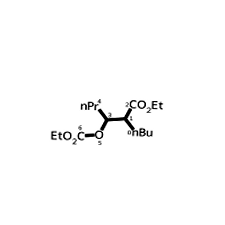 CCCCC(C(=O)OCC)C(CCC)OC(=O)OCC